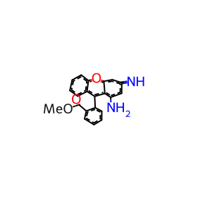 COC(=O)c1ccccc1-c1c2c(N)cc(=N)cc-2oc2ccccc12